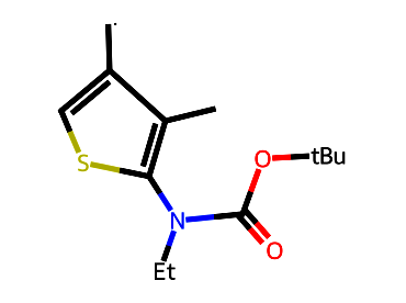 [CH2]c1csc(N(CC)C(=O)OC(C)(C)C)c1C